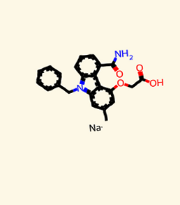 Cc1cc(OCC(=O)O)c2c3c(C(N)=O)cccc3n(Cc3ccccc3)c2c1.[Na]